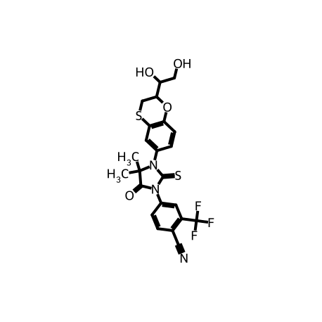 CC1(C)C(=O)N(c2ccc(C#N)c(C(F)(F)F)c2)C(=S)N1c1ccc2c(c1)SCC(C(O)CO)O2